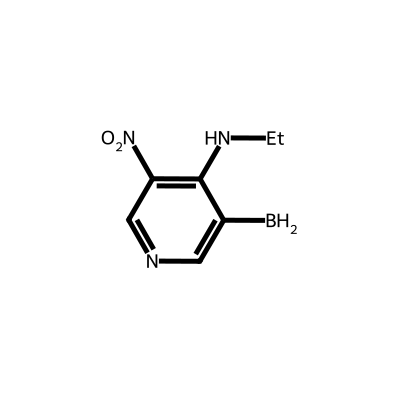 Bc1cncc([N+](=O)[O-])c1NCC